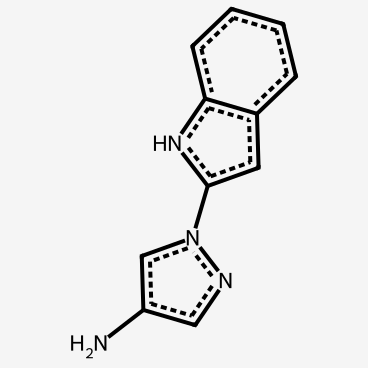 Nc1cnn(-c2cc3ccccc3[nH]2)c1